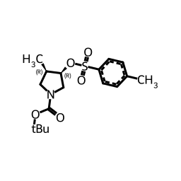 Cc1ccc(S(=O)(=O)O[C@H]2CN(C(=O)OC(C)(C)C)C[C@H]2C)cc1